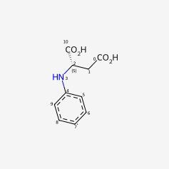 O=C(O)C[C@H](Nc1cc[c]cc1)C(=O)O